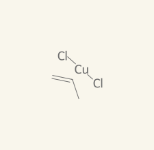 C=CC.[Cl][Cu][Cl]